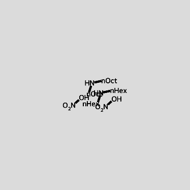 CCCCCCCCNCCCCCCCC.CCCCCCNCCCCCC.O=[N+]([O-])O.O=[N+]([O-])O